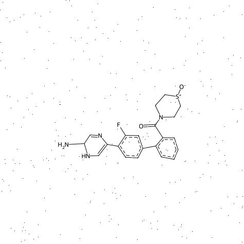 NC1C=NC(c2ccc(-c3ccccc3C(=O)N3CC[S+]([O-])CC3)cc2F)=CN1